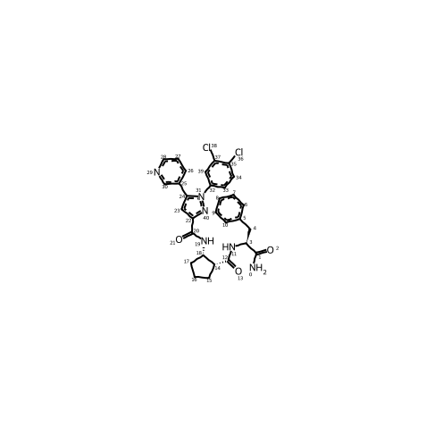 NC(=O)[C@H](Cc1ccccc1)NC(=O)[C@@H]1CCC[C@@H]1NC(=O)c1cc(-c2cccnc2)n(-c2ccc(Cl)c(Cl)c2)n1